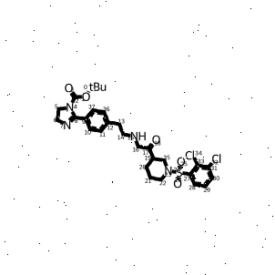 CC(C)(C)OC(=O)N1CCN=C1c1ccc(CCNCC(=O)C2CCCN(S(=O)(=O)c3cccc(Cl)c3Cl)C2)cc1